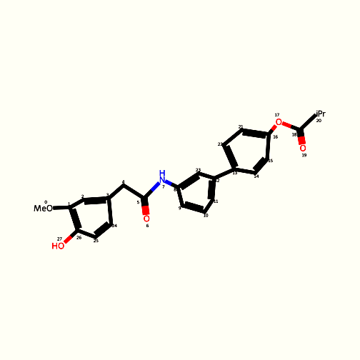 COc1cc(CC(=O)Nc2cccc(-c3ccc(OC(=O)C(C)C)cc3)c2)ccc1O